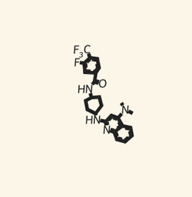 CN(C)c1cc(NC2CCC(NC(=O)c3ccc(C(F)(F)F)c(F)c3)CC2)nc2ccccc12